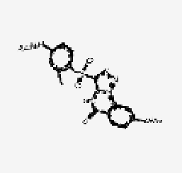 COc1ccc2c(=O)[nH]c3c(S(=O)(=O)c4ccc(NC(C)=O)cc4C)nnn3c2c1